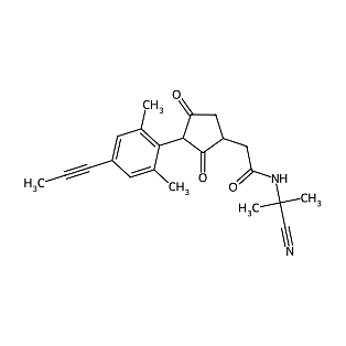 CC#Cc1cc(C)c(C2C(=O)CC(CC(=O)NC(C)(C)C#N)C2=O)c(C)c1